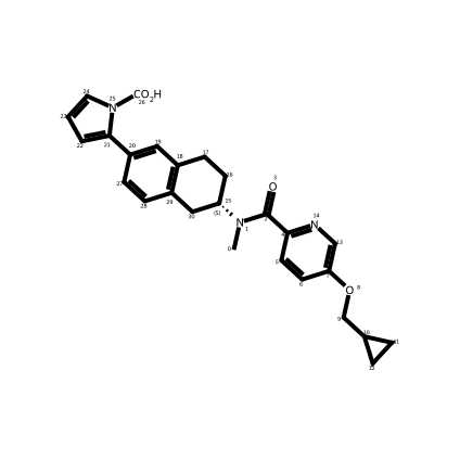 CN(C(=O)c1ccc(OCC2CC2)cn1)[C@H]1CCc2cc(-c3cccn3C(=O)O)ccc2C1